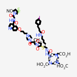 C[C@H](CN1C(=O)CC(S[C@H](CCCCCNC(=O)CCCc2ccc(I)cc2)CNC(=O)CN2CCN(CC(=O)O)CCN(CC(=O)O)CCN(CC(=O)O)CC2)C1=O)C(=O)N1CCN(CCCCOc2ccc3nccc(C(=O)NCC(=O)N4CC(F)(F)C[C@@H]4C#N)c3c2)CC1